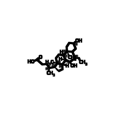 CC[C@@H]1C2C[C@H](O)CC[C@]2(C)[C@H]2CC[C@]3(C)[C@@H]([C@H](C)CCC(=O)O)CC[C@H]3[C@@H]2[C@H]1O